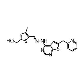 Cc1cc(CO)sc1C=NNc1ncnc2sc(Cc3ccccn3)cc12